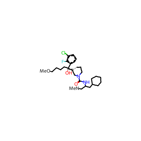 CNCC(CC1CCCCC1)NC(=O)N1CCC[C@@H]([C@@](O)(CCCCOC)c2cccc(Cl)c2F)C1